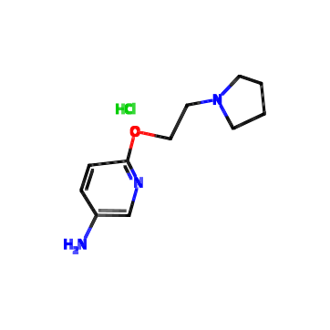 Cl.Nc1ccc(OCCN2CCCC2)nc1